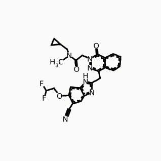 CN(CC1CC1)C(=O)Cn1nc(Cc2nc3cc(C#N)c(OCC(F)F)cc3[nH]2)c2ccccc2c1=O